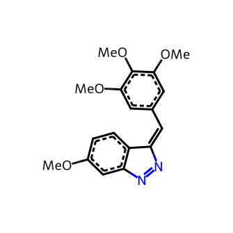 COc1ccc2c(c1)N=N/C2=C/c1cc(OC)c(OC)c(OC)c1